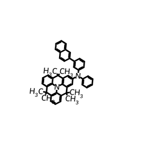 CC1(C)c2cccc3c2N2c4c1cccc4C(C)(C)c1cc(N(c4ccccc4)c4cccc(-c5ccc6ccccc6c5)c4)cc(c12)C3(C)C